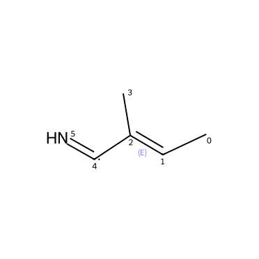 C/C=C(\C)[C]=N